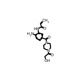 C=CC(=O)Nc1cc(C(=O)N2CCN(C(=O)CO)CC2)ccc1N